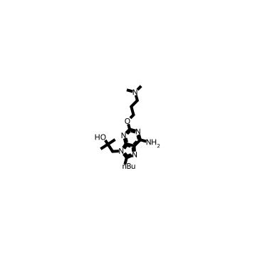 CCCCc1nc2c(N)nc(OCCCN(C)C)nc2n1CC(C)(C)O